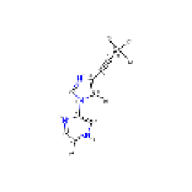 Cc1cnc(-n2cnc(C#C[Si](C)(C)C)c2C)cn1